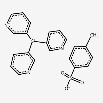 Cc1ccc(S(=O)(=O)[O-])cc1.c1cncc([S+](c2cccnc2)c2cccnc2)c1